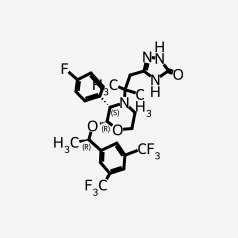 C[C@@H](O[C@H]1OCCN(C(C)(C)Cc2n[nH]c(=O)[nH]2)[C@H]1c1ccc(F)cc1)c1cc(C(F)(F)F)cc(C(F)(F)F)c1